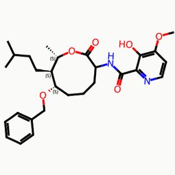 COc1ccnc(C(=O)NC2CCC[C@H](OCc3ccccc3)[C@@H](CCC(C)C)[C@H](C)OC2=O)c1O